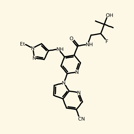 CCn1cc(Nc2cc(-n3ccc4cc(C#N)cnc43)ncc2C(=O)NCC(F)C(C)(C)O)cn1